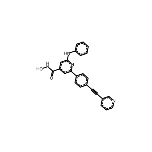 O=C(NO)c1cc(Nc2ccccc2)nc(-c2ccc(C#Cc3cccnc3)cc2)c1